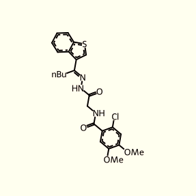 CCCC/C(=N\NC(=O)CNC(=O)c1cc(OC)c(OC)cc1Cl)c1csc2ccccc12